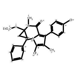 CCOC(=O)OC1(N(C)C(=O)c2c(-c3ccc(Cl)cc3)c(C)c(C(F)(F)F)n2Cc2ccccc2)CC1